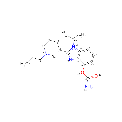 CCCN1CCCC(c2nc3c(OC(N)=O)cccc3n2C(C)C)C1